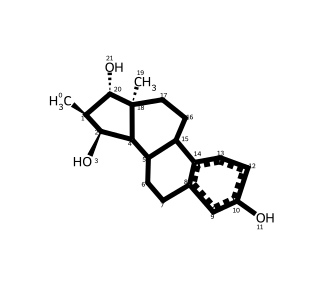 C[C@@H]1[C@H](O)C2C3CCc4cc(O)ccc4C3CC[C@]2(C)[C@H]1O